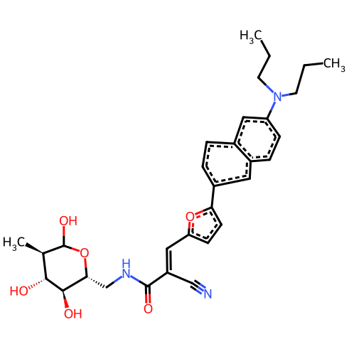 CCCN(CCC)c1ccc2cc(-c3ccc(/C=C(\C#N)C(=O)NC[C@H]4OC(O)[C@H](C)[C@@H](O)[C@@H]4O)o3)ccc2c1